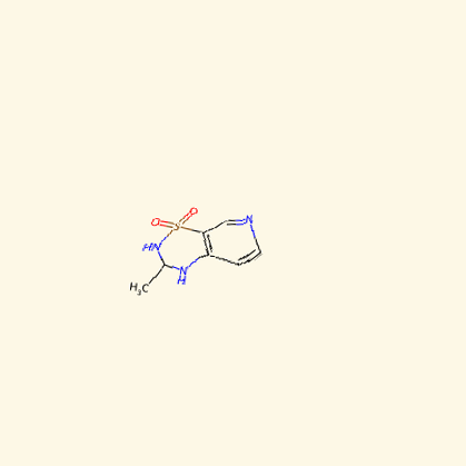 CC1Nc2ccncc2S(=O)(=O)N1